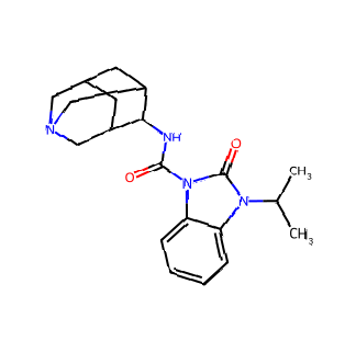 CC(C)n1c(=O)n(C(=O)NC2C3CC4CC2CN(C4)C3)c2ccccc21